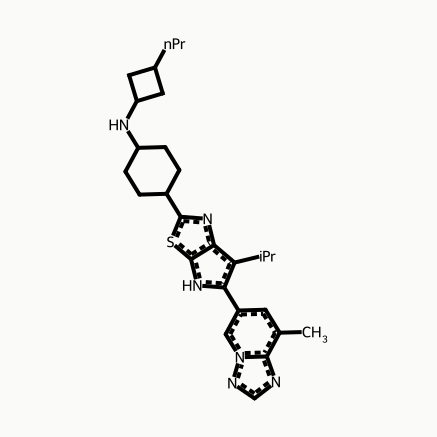 CCCC1CC(NC2CCC(c3nc4c(C(C)C)c(-c5cc(C)c6ncnn6c5)[nH]c4s3)CC2)C1